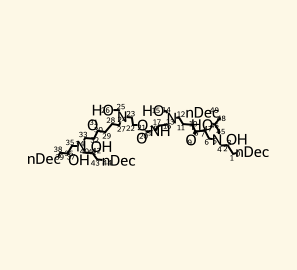 CCCCCCCCCCCC(O)CN(CCC(=O)CCCN(CO)CCNC(=O)OCCN(CO)CCCC(=O)CCN(CC(O)CCCCCCCCCCC)CC(O)CCCCCCCCCCC)CC(O)CCCCCCCCCCC